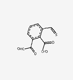 O=CC(=O)c1cccc(C=S)c1C(=O)C=O